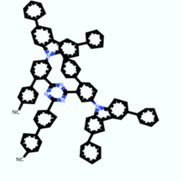 N#Cc1ccc(-c2ccc(-c3nc(-c4cc(-n5c6ccc(-c7ccccc7)cc6c6cc(-c7ccccc7)ccc65)ccc4-c4ccc(C#N)cc4)nc(-c4cc(-n5c6ccc(-c7ccccc7)cc6c6cc(-c7ccccc7)ccc65)ccc4-c4ccc(C#N)cc4)n3)cc2)cc1